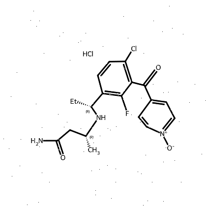 CC[C@@H](N[C@H](C)CC(N)=O)c1ccc(Cl)c(C(=O)c2cc[n+]([O-])cc2)c1F.Cl